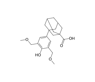 COCc1cc(C23CC4CC(CC(C(=O)O)(C4)C2)C3)cc(COC)c1O